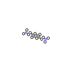 c1ccc(N(c2ccccc2)c2cccc3c(B4c5ccccc5B5c6cccc7c6B(c6ccccc6B7c6cccc7c(N(c8ccccc8)c8ccccc8)cccc67)c6cccc4c65)cccc23)cc1